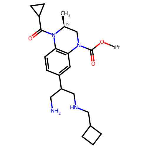 CC(C)OC(=O)N1C[C@H](C)N(C(=O)C2CC2)c2ccc(C(CN)CNCC3CCC3)cc21